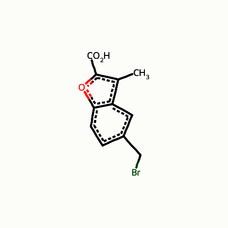 Cc1c(C(=O)O)oc2ccc(CBr)cc12